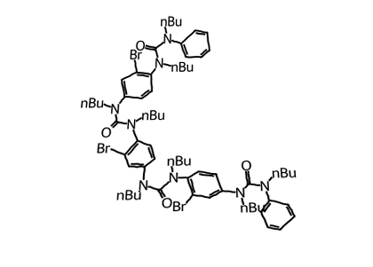 CCCCN(C(=O)N(CCCC)c1ccc(N(CCCC)C(=O)N(CCCC)c2ccc(N(CCCC)C(=O)N(CCCC)c3ccc(N(CCCC)C(=O)N(CCCC)c4ccccc4)c(Br)c3)c(Br)c2)c(Br)c1)c1ccccc1